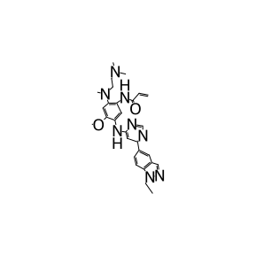 C=CC(=O)Nc1cc(Nc2cc(-c3ccc4c(cnn4CC)c3)ncn2)c(OC)cc1N(C)CCN(C)C